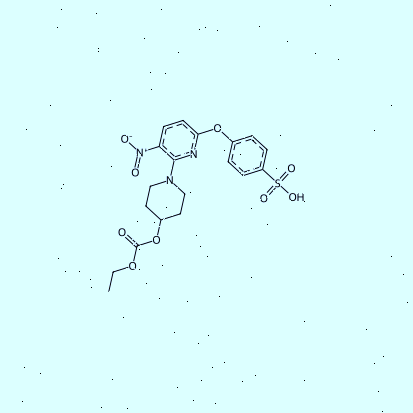 CCOC(=O)OC1CCN(c2nc(Oc3ccc(S(=O)(=O)O)cc3)ccc2[N+](=O)[O-])CC1